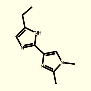 CCc1cnc(-c2cn(C)c(C)n2)[nH]1